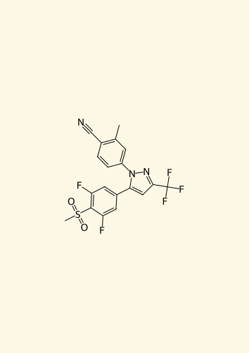 Cc1cc(-n2nc(C(F)(F)F)cc2-c2cc(F)c(S(C)(=O)=O)c(F)c2)ccc1C#N